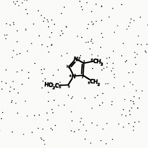 Cc1n[c]n(CC(=O)O)c1C